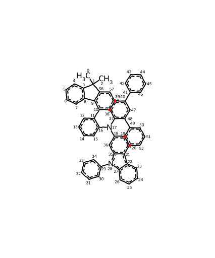 CC1(C)c2ccccc2-c2c(-c3ccccc3N(c3ccc4c5ccccc5n(-c5ccccc5)c4c3)c3ccc(-c4ccccc4)cc3-c3ccccc3)cccc21